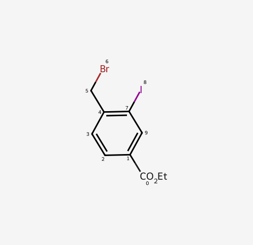 CCOC(=O)c1ccc(CBr)c(I)c1